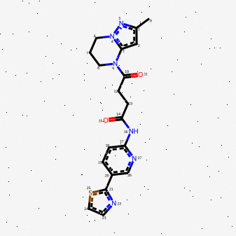 Cc1cc2n(n1)CCCN2C(=O)CCC(=O)Nc1ccc(-c2nccs2)cn1